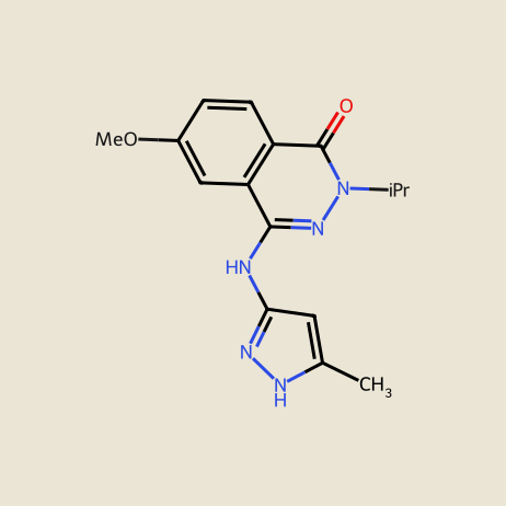 COc1ccc2c(=O)n(C(C)C)nc(Nc3cc(C)[nH]n3)c2c1